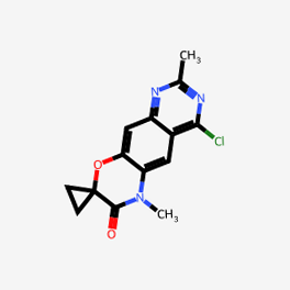 Cc1nc(Cl)c2cc3c(cc2n1)OC1(CC1)C(=O)N3C